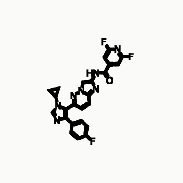 O=C(Nc1cn2nc(-c3c(-c4ccc(F)cc4)ncn3C3CC3)ccc2n1)c1cc(F)nc(F)c1